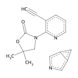 C#Cc1cccnc1N1CC(C)(C)OC1=O.c1ncc2cc1-2